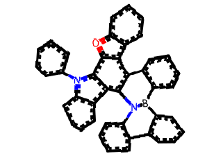 c1ccc(-n2c3ccccc3c3c4c(c5c6ccccc6oc5c32)-c2ccccc2B2c3ccccc3-c3ccccc3N24)cc1